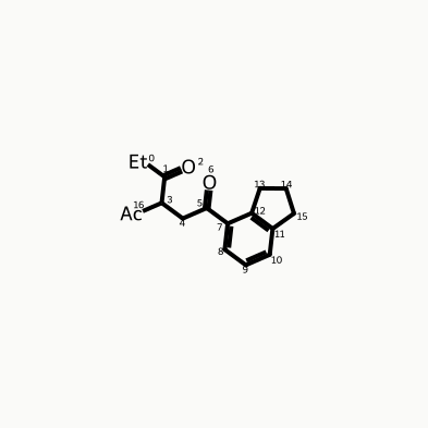 CCC(=O)C(CC(=O)c1cccc2c1CCC2)C(C)=O